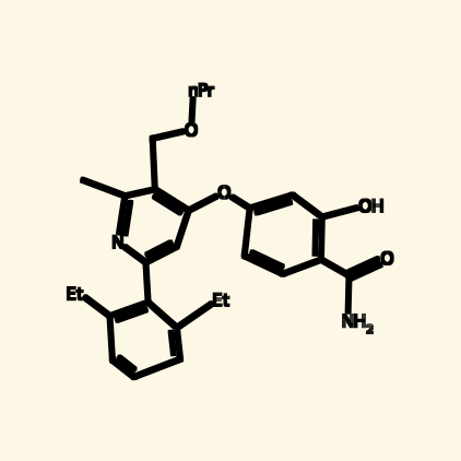 CCCOCc1c(Oc2ccc(C(N)=O)c(O)c2)cc(-c2c(CC)cccc2CC)nc1C